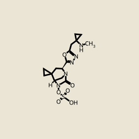 CNC1(Cc2nnc([C@@H]3CC4(CC4)[C@@H]4CN3C(=O)N4OS(=O)(=O)O)o2)CC1